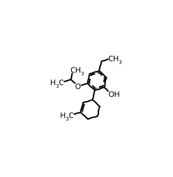 CCc1cc(O)c(C2C=C(C)CCC2)c(OC(C)C)c1